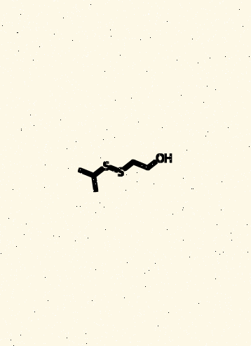 CC(C)SSCCO